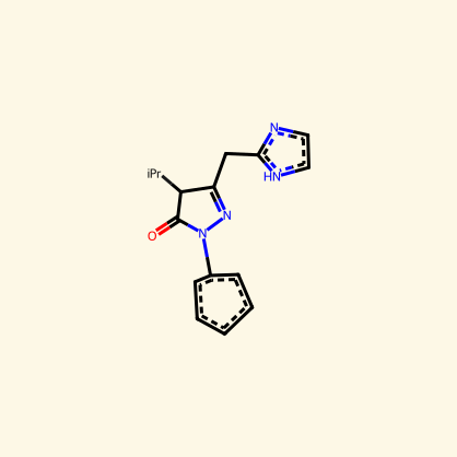 CC(C)C1C(=O)N(c2ccccc2)N=C1Cc1ncc[nH]1